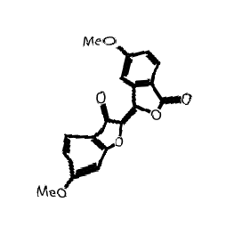 COc1ccc2c(c1)OC(=C1OC(=O)c3ccc(OC)cc31)C2=O